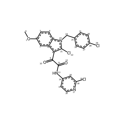 COc1ccc2c(c1)c(C(=O)C(=O)Nc1ccnc(Cl)c1)c(Cl)n2Cc1ccc(Cl)cc1